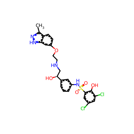 Cc1n[nH]c2cc(OCCNC[C@H](O)c3cccc(NS(=O)(=O)c4cc(Cl)cc(Cl)c4O)c3)ccc12